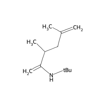 C=C(C)CC(C)C(=C)NC(C)(C)C